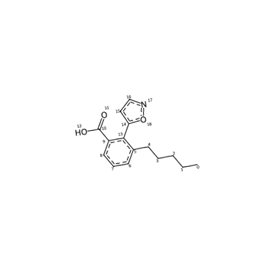 CCCCCc1cccc(C(=O)O)c1-c1ccno1